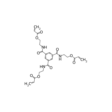 C=CC(=O)OCCNC(=O)c1cc(C(=O)NCCOC(=O)C=C)cc(C(=O)NCCOC(=O)C=C)c1